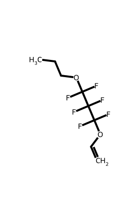 C=COC(F)(F)C(F)(F)C(F)(F)OCCC